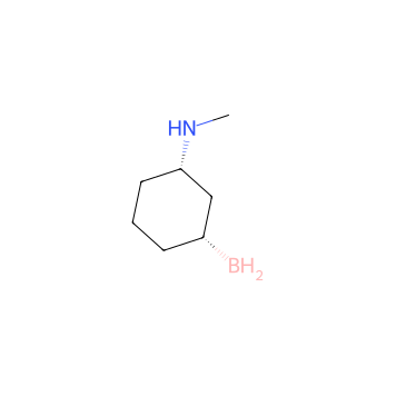 B[C@@H]1CCC[C@H](NC)C1